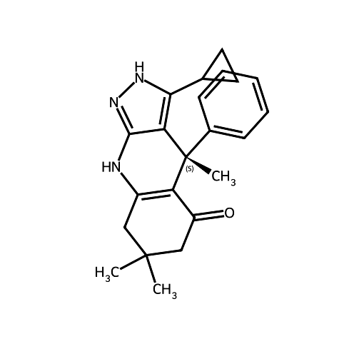 CC1(C)CC(=O)C2=C(C1)Nc1n[nH]c(C3CC3)c1[C@]2(C)c1ccccc1